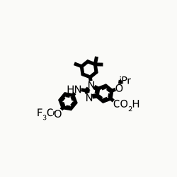 CC1CC(n2c(Nc3ccc(OC(F)(F)F)cc3)nc3cc(C(=O)O)c(OC(C)C)cc32)CC(C)(C)C1